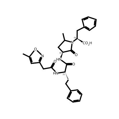 Cc1cc(CC(=O)N[C@@H](CCc2ccccc2)C(=O)N[C@H]2CC(C)N([C@@H](Cc3ccccc3)C(=O)O)C2=O)no1